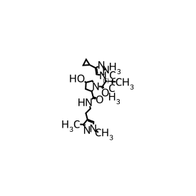 Cc1nn(C)cc1CCNC(=O)C1CC(O)CN1C(=O)[C@@H](n1cc(C2CC2)nn1)C(C)(C)C